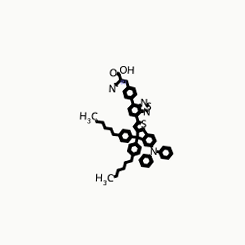 CCCCCCc1ccc(C2(c3ccc(CCCCCC)cc3)c3cc(N(c4ccccc4)c4ccccc4)ccc3-c3sc(-c4ccc(-c5ccc(/C=C(\C#N)C(=O)O)cc5)c5nsnc45)cc32)cc1